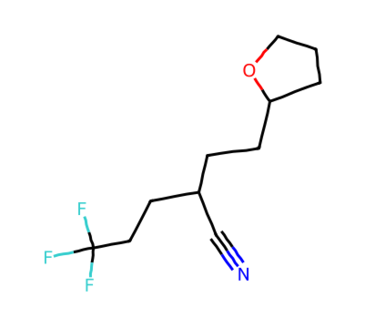 N#CC(CCC1CCCO1)CCC(F)(F)F